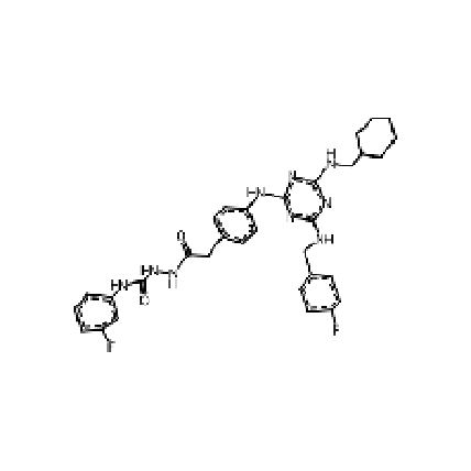 O=C(Cc1ccc(Nc2nc(NCc3ccc(F)cc3)nc(NCC3CCCCC3)n2)cc1)NNC(=O)Nc1cccc(F)c1